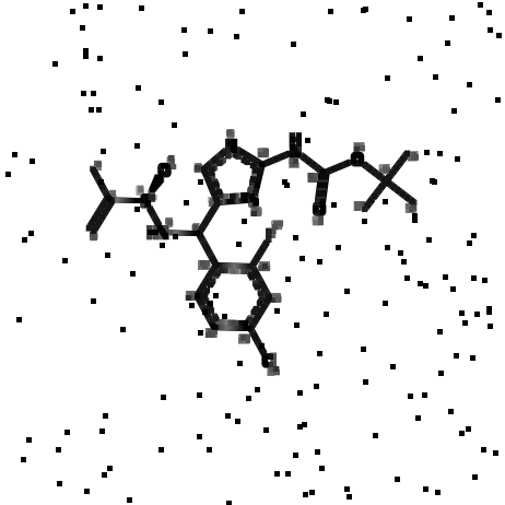 C=C(C)[S@@+]([O-])NC(c1cnc(NC(=O)OC(C)(C)C)s1)c1ccc(Cl)cc1F